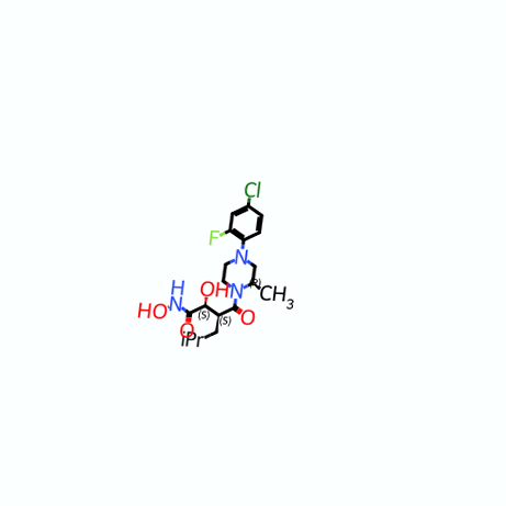 CC(C)C[C@H](C(=O)N1CCN(c2ccc(Cl)cc2F)C[C@H]1C)[C@H](O)C(=O)NO